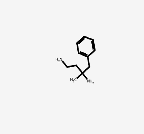 CC(N)(CCN)Cc1ccccc1